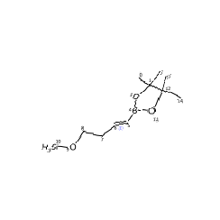 CC1(C)OB(/C=C/CCO[SiH3])OC1(C)C